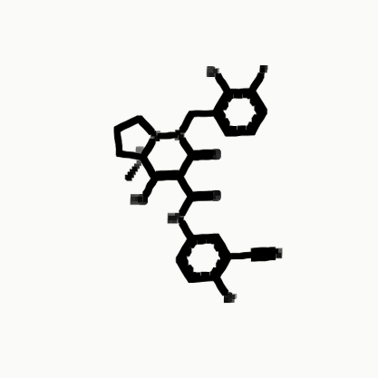 C[C@]12CCCN1N(Cc1cccc(F)c1Br)C(=O)C(C(=O)Nc1ccc(Br)c(C#N)c1)=C2O